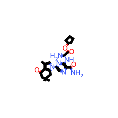 Cc1cn(-c2cnc(C(N)=O)c(NC(N)C(=O)OC3CCCC3)n2)c2c1C(=O)CC(C)(C)C2